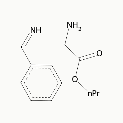 CCCOC(=O)CN.N=Cc1ccccc1